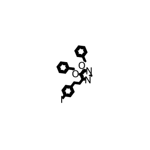 Ic1ccc(CCc2ncnc(OCc3ccccc3)c2OCc2ccccc2)cc1